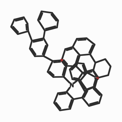 c1ccc(-c2ccc(-c3ccc(N(c4ccccc4-c4cccc5cccc(C6CCCCC6)c45)c4ccccc4-c4cccc5oc6ccccc6c45)cc3)cc2-c2ccccc2)cc1